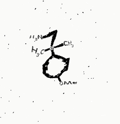 COc1ccc([Si](C)(C)CN)cc1